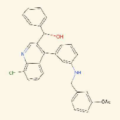 CC(=O)Oc1cccc(CNc2cccc(-c3c(C(O)c4ccccc4)cnc4c(Cl)cccc34)c2)c1